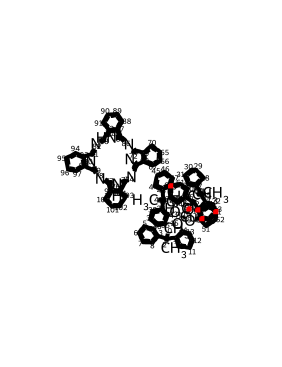 CC(C)(c1ccccc1)c1ccccc1[O][Cu]([O]c1ccccc1C(C)(C)c1ccccc1)([O]c1ccccc1C(C)(C)c1ccccc1)[O]c1ccccc1C(C)(C)c1ccccc1.c1ccc2c(c1)-c1nc-2nc2[nH]c(nc3nc(nc4[nH]c(n1)c1ccccc41)-c1ccccc1-3)c1ccccc21